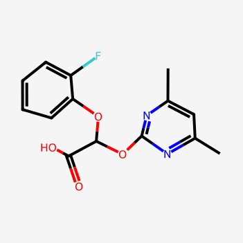 Cc1cc(C)nc(OC(Oc2ccccc2F)C(=O)O)n1